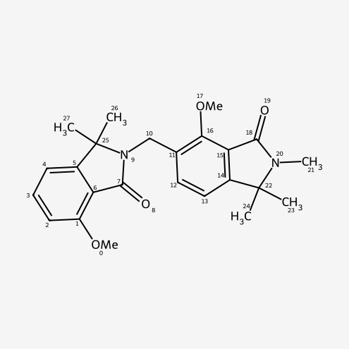 COc1cccc2c1C(=O)N(Cc1ccc3c(c1OC)C(=O)N(C)C3(C)C)C2(C)C